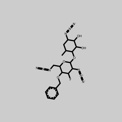 CC1CC(N=[N+]=[N-])C(O)C(O)C1OC1OC(CN=[N+]=[N-])C(OCc2ccccc2)C(F)C1N=[N+]=[N-]